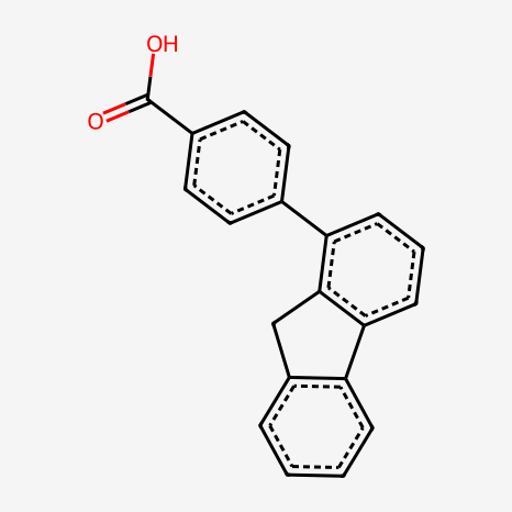 O=C(O)c1ccc(-c2cccc3c2Cc2ccccc2-3)cc1